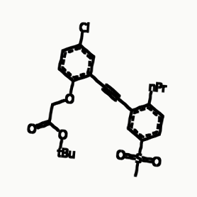 CCCc1ccc(S(C)(=O)=O)cc1C#Cc1cc(Cl)ccc1OCC(=O)OC(C)(C)C